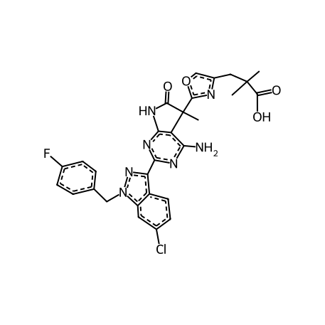 CC(C)(Cc1coc(C2(C)C(=O)Nc3nc(-c4nn(Cc5ccc(F)cc5)c5cc(Cl)ccc45)nc(N)c32)n1)C(=O)O